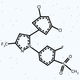 CS(=O)(=O)c1ccc(-n2nc(C(F)(F)F)cc2-c2cc(Cl)cc(Cl)c2)cc1F